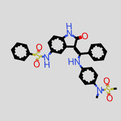 CN(c1ccc(NC(=C2C(=O)Nc3ccc(NS(=O)(=O)c4ccccc4)cc32)c2ccccc2)cc1)S(C)(=O)=O